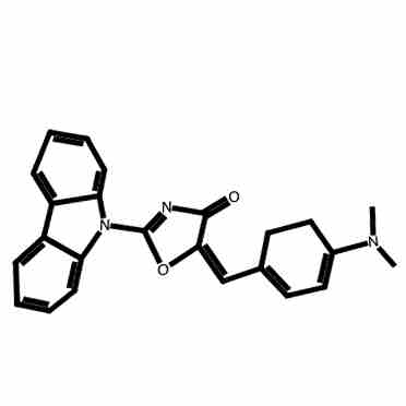 CN(C)C1=CC=C(/C=C2/OC(n3c4ccccc4c4ccccc43)=NC2=O)CC1